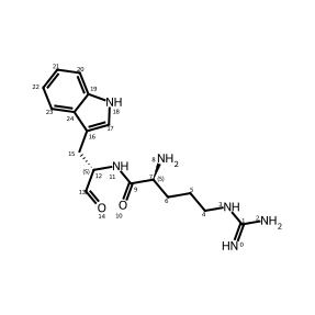 N=C(N)NCCC[C@H](N)C(=O)N[C@H]([C]=O)Cc1c[nH]c2ccccc12